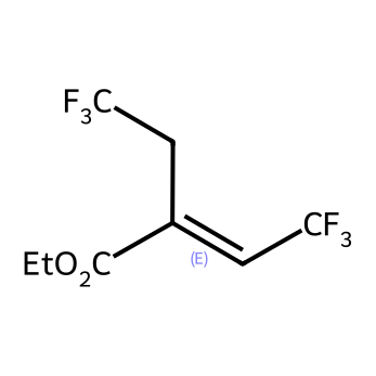 CCOC(=O)/C(=C/C(F)(F)F)CC(F)(F)F